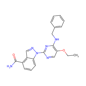 CCOc1cnc(-n2ncc3c(C(N)=O)cccc32)nc1NCc1ccccc1